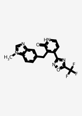 Cn1cnc2cc(Cc3c(-c4noc(C(F)(F)F)n4)cc[nH]c3=O)ccc21